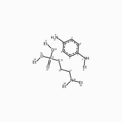 CCNc1ccc(N)cc1.CCOP(=O)(OCC)SCCN(CC)CC